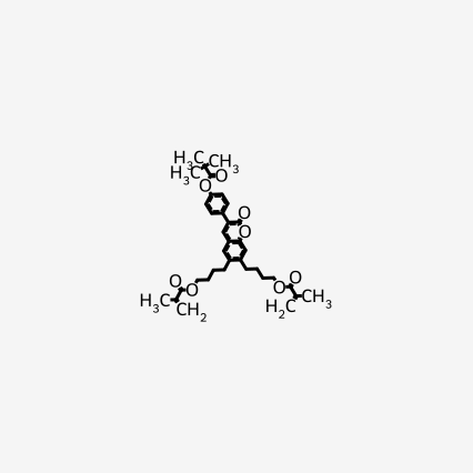 C=C(C)C(=O)OCCCCc1cc2cc(-c3ccc(OC(=O)C(C)(C)C)cc3)c(=O)oc2cc1CCCCOC(=O)C(=C)C